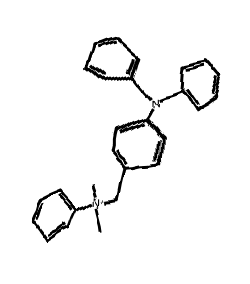 C[N+](C)(Cc1ccc(N(c2ccccc2)c2ccccc2)cc1)c1ccccc1